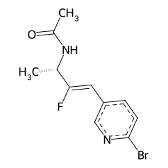 CC(=O)N[C@@H](C)/C(F)=C/c1ccc(Br)nc1